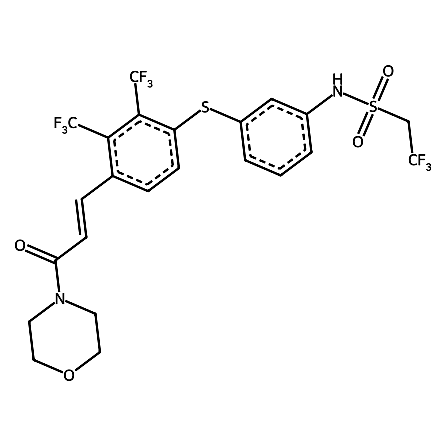 O=C(/C=C/c1ccc(Sc2cccc(NS(=O)(=O)CC(F)(F)F)c2)c(C(F)(F)F)c1C(F)(F)F)N1CCOCC1